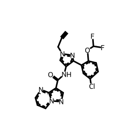 C#CCn1cc(NC(=O)c2cnn3cccnc23)c(-c2cc(Cl)ccc2OC(F)F)n1